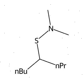 CCCCC(CCC)SN(C)C